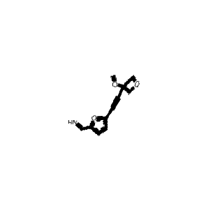 COC1(C#Cc2ccc(C=N)o2)COC1